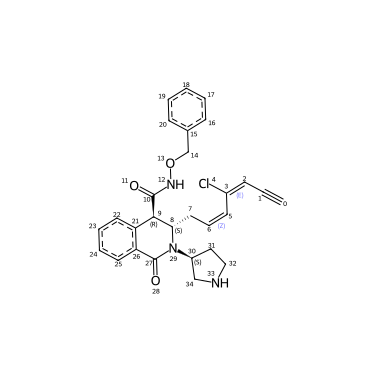 C#C/C=C(Cl)\C=C/C[C@H]1[C@H](C(=O)NOCc2ccccc2)c2ccccc2C(=O)N1[C@H]1CCNC1